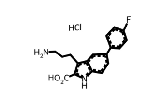 Cl.NCCCc1c(C(=O)O)[nH]c2ccc(-c3ccc(F)cc3)cc12